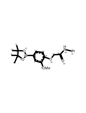 COc1cc(B2OC(C)(C)C(C)(C)O2)ccc1OCC(=O)NC(C)C